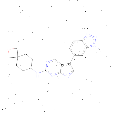 Cn1nnc2ccc(-c3c[nH]c4nc(NC5CCC6(CC5)COC6)ncc34)cc21